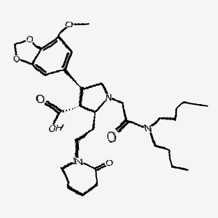 CCCCN(CCCC)C(=O)CN1C[C@H](c2cc(OC)c3c(c2)OCO3)[C@@H](C(=O)O)[C@@H]1CCN1CCCCC1=O